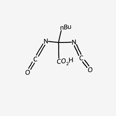 CCCCC(N=C=O)(N=C=O)C(=O)O